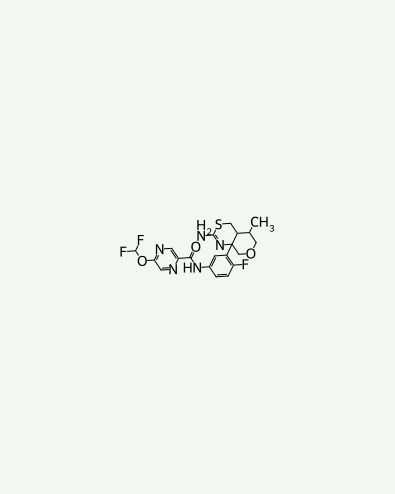 CC1COCC2(c3cc(NC(=O)c4cnc(OC(F)F)cn4)ccc3F)N=C(N)SCC12